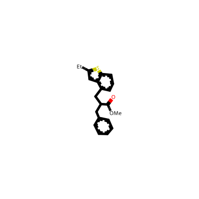 CCc1cc2c(CC(Cc3ccccc3)C(=O)OC)cccc2s1